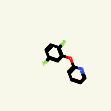 Fc1ccc(F)c(Oc2c[c]ccn2)c1